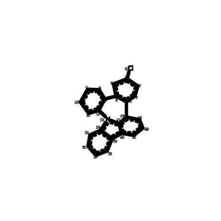 Clc1ccc2c(c1)-c1ccccc1-n1c3ccccc3c3cccc-2c31